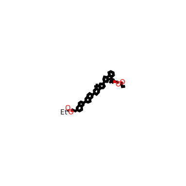 C=CC(=O)OCCCC1(C(=C)C)c2ccccc2-c2ccc(-c3ccc4c(c3)C(C)(C)c3cc(-c5ccc6cc(-c7ccc8cc(CCOC(=O)CC)ccc8c7)ccc6c5)ccc3-4)cc21